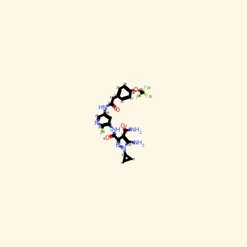 NC(=O)c1c(C(=O)Nc2cc(NC(=O)Cc3ccc(OC(F)(F)F)cc3)cnc2F)nn(C2CC2)c1N